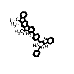 CC1(C)C2=CC3C(C=C2c2ccc(-c4ccc(C5NC(c6ccccc6)NC6=C5SC5CC=CCC65)cc4)cc21)c1ccccc1C3(C)C